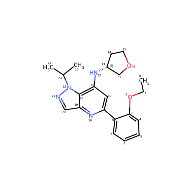 CCOc1ccccc1-c1cc(N[C@@H]2CCOC2)c2c(cnn2C(C)C)n1